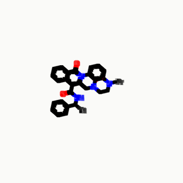 CC[C@H](NC(=O)c1c(CN2CCN(C(C)C)CC2)n(-c2ccccc2)c(=O)c2ccccc12)c1ccccc1